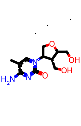 Cc1cn(C2COC(CO)C2CO)c(=O)nc1N